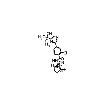 CC(C)(C#N)c1cncc(-c2ccc(C(=O)N[C@@H]3C[C@@H]4CC[C@H]3N4C#N)c(Cl)c2)n1